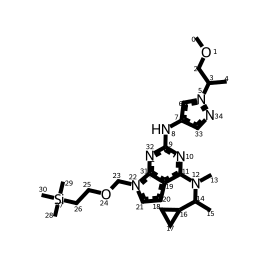 COCC(C)n1cc(Nc2nc(N(C)C(C)C3CC3)c3ccn(COCC[Si](C)(C)C)c3n2)cn1